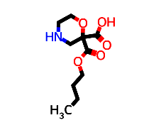 CCCCOC(=O)C1(C(=O)O)CNCCO1